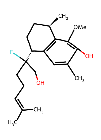 COc1c(O)c(C)cc2c1[C@H](C)CC[C@H]2C(F)(CO)CCC=C(C)C